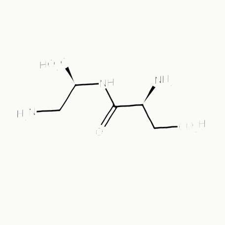 NC[C@H](NC(=O)[C@@H](N)CC(=O)O)C(=O)O